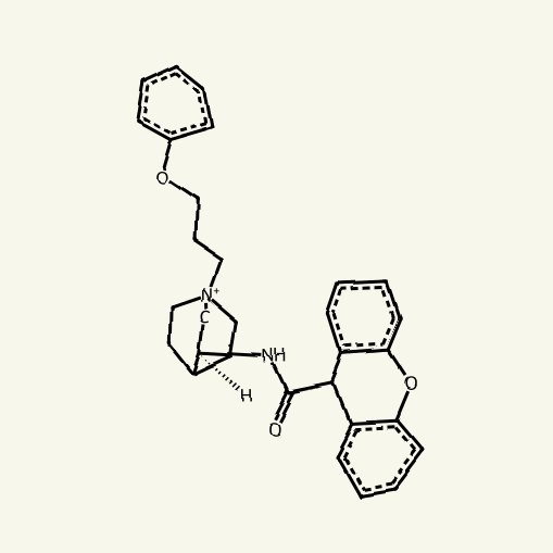 O=C(N[C@@H]1C[N+]2(CCCOc3ccccc3)CCC1CC2)C1c2ccccc2Oc2ccccc21